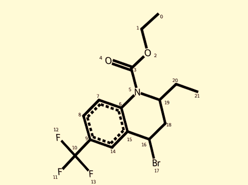 CCOC(=O)N1c2ccc(C(F)(F)F)cc2C(Br)CC1CC